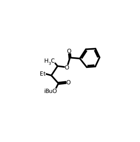 CCC(C(=O)OCC(C)C)C(C)OC(=O)c1ccccc1